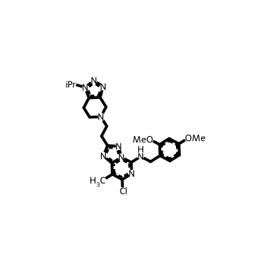 COc1ccc(CNc2nc(Cl)c(C)c3nc(CCN4CCc5c(nnn5C(C)C)C4)nn23)c(OC)c1